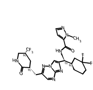 Cn1nccc1C(=O)N[C@H](c1cn2nc(C[C@H]3C[C@@H](C(F)(F)F)CNC3=O)cnc2n1)[C@@H]1CCCC(F)(F)C1